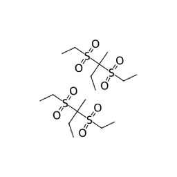 CCC(C)(S(=O)(=O)CC)S(=O)(=O)CC.CCC(C)(S(=O)(=O)CC)S(=O)(=O)CC